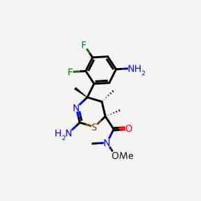 CON(C)C(=O)[C@@]1(C)SC(N)=N[C@](C)(c2cc(N)cc(F)c2F)[C@@H]1C